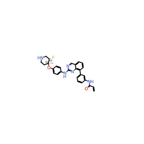 C=CC(=O)Nc1cccc(-c2cccc3cnc(Nc4ccc(O[C@@]5(C)CCNC[C@@H]5F)cc4)nc23)c1